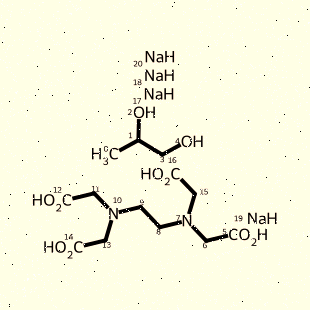 CC(O)CO.O=C(O)CN(CCN(CC(=O)O)CC(=O)O)CC(=O)O.[NaH].[NaH].[NaH].[NaH]